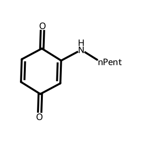 CCCCCNC1=CC(=O)C=CC1=O